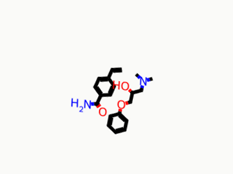 C=Cc1ccc(C(N)=O)cc1.CN(C)CC(O)COc1ccccc1